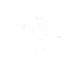 CCOC(=O)CN(CC(=O)OCC)c1cc(NC(C)=O)c(N)cc1OC